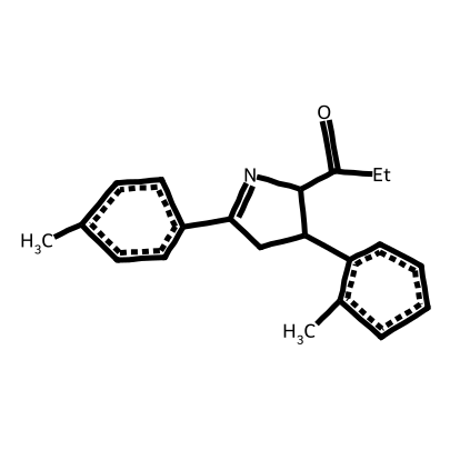 CCC(=O)C1N=C(c2ccc(C)cc2)CC1c1ccccc1C